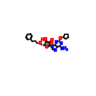 Nc1nc(OC2CCCC2)nc2c1ncn2[C@@H]1O[C@H](COCCCc2ccccc2)[C@@H](O)[C@H]1O